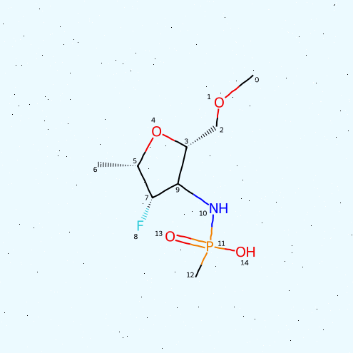 COC[C@H]1O[C@@H](C)[C@@H](F)C1NP(C)(=O)O